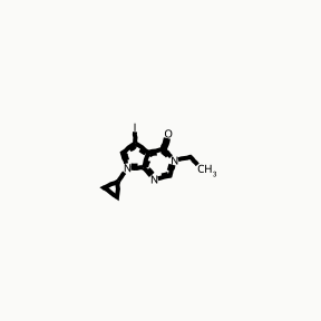 CCn1cnc2c(c(I)cn2C2CC2)c1=O